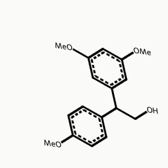 COc1ccc(C(CO)c2cc(OC)cc(OC)c2)cc1